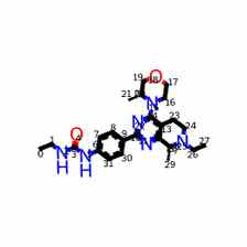 CCNC(=O)Nc1ccc(-c2nc3c(c(N4CCOC[C@@H]4C)n2)CCN(CC)[C@H]3C)cc1